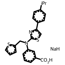 CC(C)c1ccc(-c2csc(N(Cc3cccs3)c3cccc(C(=O)O)c3)n2)cc1.[NaH]